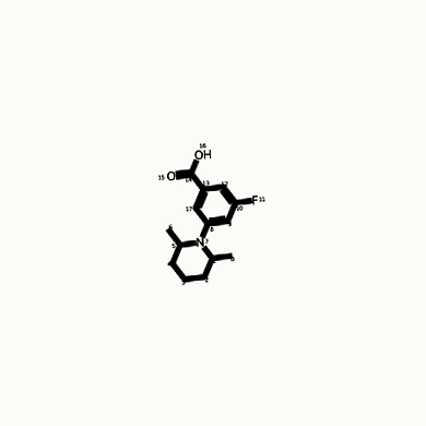 CC1CCCC(C)N1c1cc(F)cc(C(=O)O)c1